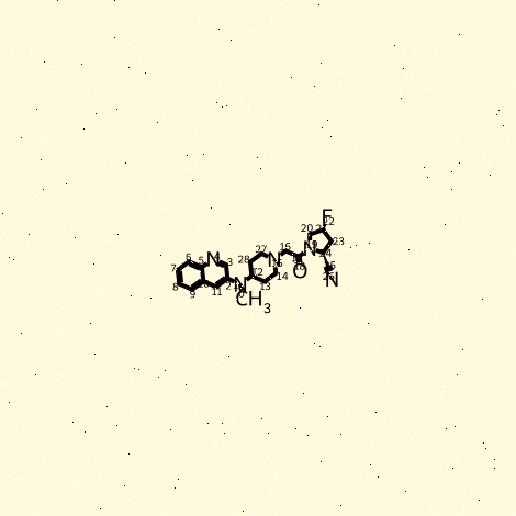 CN(c1cnc2ccccc2c1)C1CCN(CC(=O)N2C[C@@H](F)C[C@H]2C#N)CC1